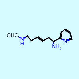 NC(C/C=C/CCNC=O)c1ccccn1